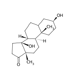 C[C@]12CC[C@H](O)CC1CC[C@@H]1[C@@H]2CC[C@]2(C)C(=O)CC[C@]12O